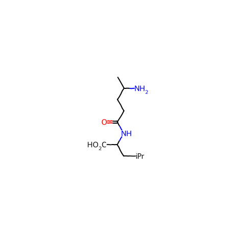 CC(C)CC(NC(=O)CCC(C)N)C(=O)O